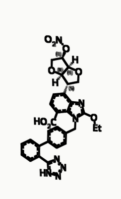 CCOc1nc2c([C@H]3CO[C@H]4[C@@H]3OC[C@H]4O[N+](=O)[O-])ccc(C(=O)O)c2n1Cc1ccc(-c2ccccc2-c2nnn[nH]2)cc1